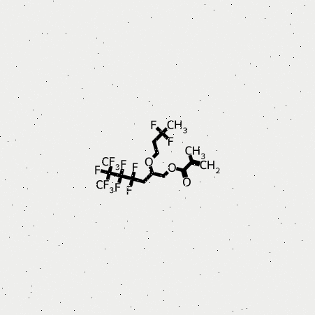 C=C(C)C(=O)OCC(CC(F)(F)C(F)(F)C(F)(C(F)(F)F)C(F)(F)F)OCCC(C)(F)F